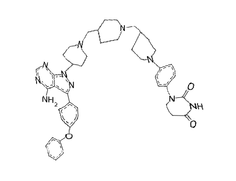 Nc1ncnc2c1c(-c1ccc(Oc3ccccc3)cc1)nn2C1CCN(CC2CCN(CC3CCN(c4ccc(N5CCC(=O)NC5=O)cc4)CC3)CC2)CC1